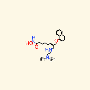 CC(C)N(CCNCC(=CCCCCC(=O)NO)COc1cccc2ccccc12)C(C)C